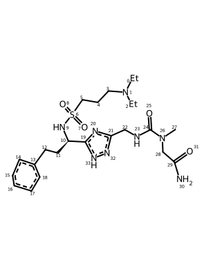 CCN(CC)CCCS(=O)(=O)N[C@H](CCc1ccccc1)c1nc(CNC(=O)N(C)CC(N)=O)n[nH]1